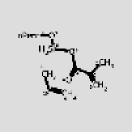 C=C(C)C(=O)O[SiH2]OCCCCC.C=CC